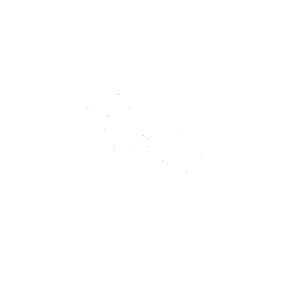 COC(=O)c1cc(Cl)c(C2CC2)nc1N1CCCC(F)(F)CC1